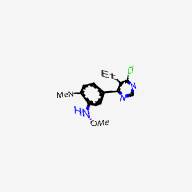 CCc1c(Cl)ncnc1-c1ccc(NC)c(NOC)c1